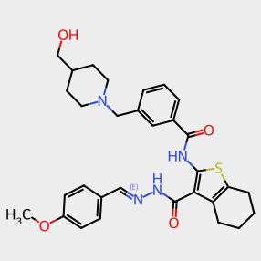 COc1ccc(/C=N/NC(=O)c2c(NC(=O)c3cccc(CN4CCC(CO)CC4)c3)sc3c2CCCC3)cc1